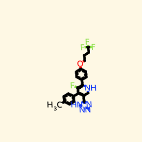 Cc1ccc(C2=C(c3nnn[nH]3)CNC(c3ccc(OCCCC(F)(F)F)cc3)=C2F)cc1